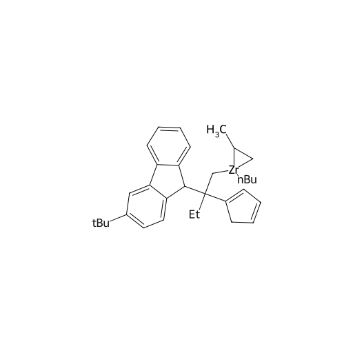 CCC[CH2][Zr]1([CH2]C(CC)(C2=CC=CC2)C2c3ccccc3-c3cc(C(C)(C)C)ccc32)[CH2][CH]1C